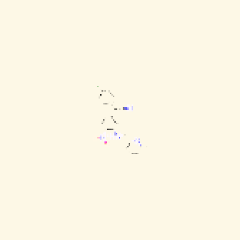 N#CC(c1ccc(Cl)cc1)c1ccc([N+](=O)[O-])c(NCc2ccccn2)c1